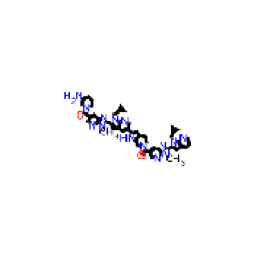 Cn1c(-c2cc3cccnc3n2CC2CC2)nc2cc(C(=O)N3CCC4CC(c5cnc6c(c5)cc(-c5nc7cc(C(=O)N8CCC[C@@H](N)C8)cnc7n5C)n6CC5CC5)NC4C3)cnc21